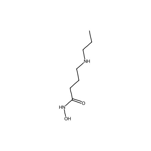 CCCNCCCC(=O)NO